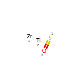 O=S.[Ti].[Zr]